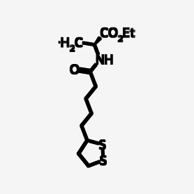 [CH2][C@H](NC(=O)CCCCC1CCSS1)C(=O)OCC